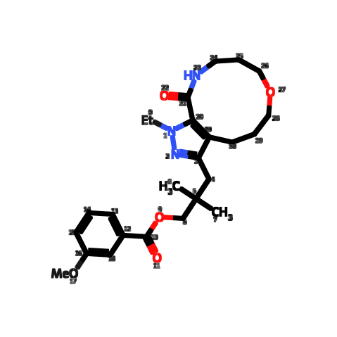 CCn1nc(CC(C)(C)COC(=O)c2cccc(OC)c2)c2c1C(=O)NCCCOCCC2